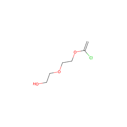 C=C(Cl)OCCOCCO